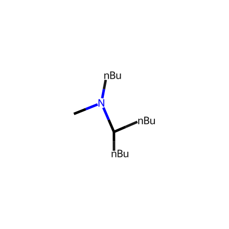 CCCCC(CCCC)N(C)CCCC